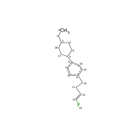 CCC1CCC(c2ccc(CCC=CF)cc2)CC1